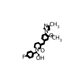 COc1cc(/C=C2\CCCN([C@@H](CO)c3ccc(F)cc3)C2=O)ccc1-n1cnc(C)c1